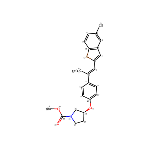 CCOC(=O)/C(=C\c1cc2cc(C#N)ccc2s1)c1ccc(O[C@H]2CCN(C(=O)OC(C)(C)C)C2)cc1